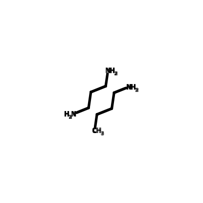 CCCCN.NCCCN